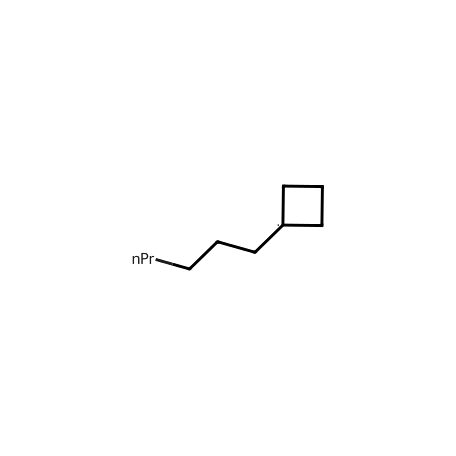 CCCCCC[C]1CCC1